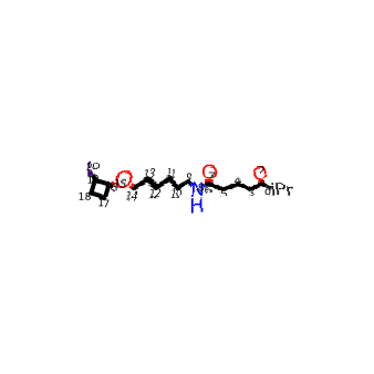 CC(C)C(=O)CCCC(=O)NCCCCCCOC1CCC1I